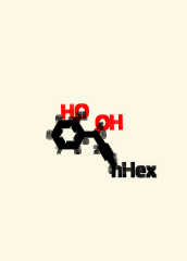 CCCCCCC#CC(O)c1ccccc1O